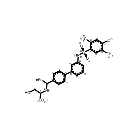 CCCCC(NC(CO)C(=O)O)c1ccc(-c2cccc(NS(=O)(=O)c3cc(C)c(Cl)cc3C)c2)cc1